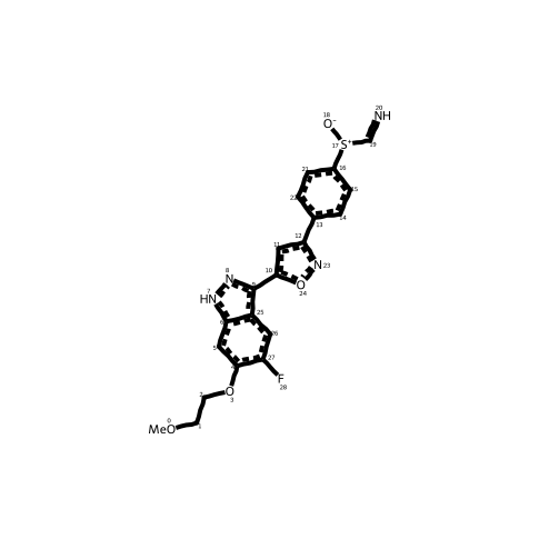 COCCOc1cc2[nH]nc(-c3cc(-c4ccc([S+]([O-])C=N)cc4)no3)c2cc1F